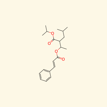 CC(C)CC(C(=O)OC(C)C)C(C)OC(=O)/C=C/c1ccccc1